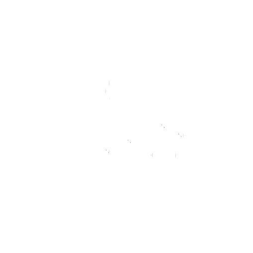 Cc1[nH]c(-c2ccccc2)nc1C(O)CN1CCN(CC(c2ccccc2)c2ccccc2)CC1.Cl.Cl.Cl